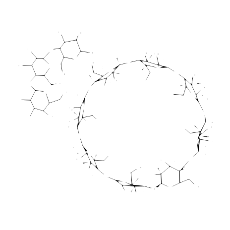 OCC1OC(OC2C(CO)OC(OC3C(CO)OC(O)C(O)C3O)C(O)C2O)C(O)C(O)C1O.OC[C@H]1O[C@@H]2O[C@H]3[C@H](O)[C@@H](O)[C@@H](O[C@H]4[C@H](O)[C@@H](O)[C@@H](O[C@H]5[C@H](O)[C@@H](O)[C@@H](O[C@H]6[C@H](O)[C@@H](O)[C@@H](O[C@H]7[C@H](O)[C@@H](O)[C@@H](O[C@H]8[C@H](O)[C@@H](O)[C@@H](O[C@H]9[C@H](O)[C@@H](O)[C@@H](O[C@H]1[C@H](O)[C@H]2O)O[C@@H]9CO)O[C@@H]8CO)O[C@@H]7CO)O[C@@H]6CO)O[C@@H]5CO)O[C@@H]4CO)O[C@@H]3CO